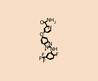 Cn1c(Nc2cc(C(F)(F)F)ccc2F)nc2cc(Oc3ccnc(C(N)=O)c3)ccc21